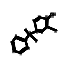 [CH2]c1cc(C(C)(C)c2ccccc2)ccc1O